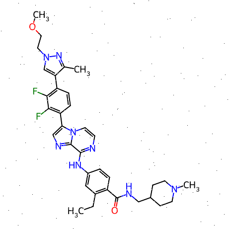 CCc1cc(Nc2nccn3c(-c4ccc(-c5cn(CCOC)nc5C)c(F)c4F)cnc23)ccc1C(=O)NCC1CCN(C)CC1